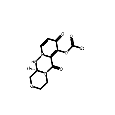 CCC(=O)Oc1c2n(ccc1=O)N[C@@H]1COCCN1C2=O